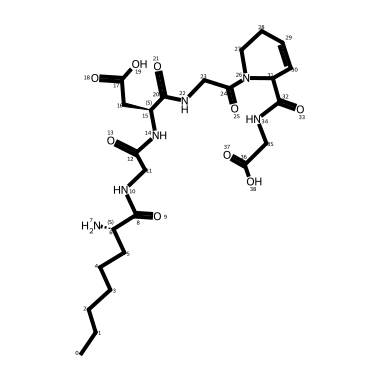 CCCCCC[C@H](N)C(=O)NCC(=O)N[C@@H](CC(=O)O)C(=O)NCC(=O)N1CCC=CC1C(=O)NCC(=O)O